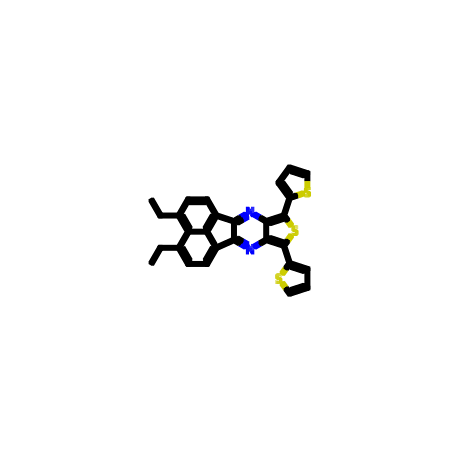 CCc1ccc2c3c(ccc(CC)c13)-c1nc3c(-c4cccs4)sc(-c4cccs4)c3nc1-2